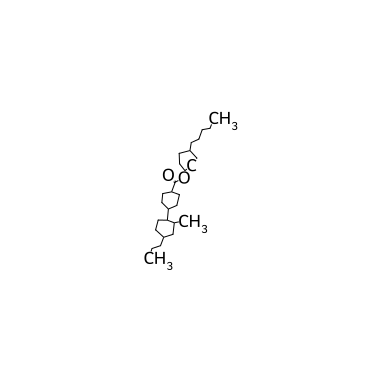 CCCCCC1CCC(OC(=O)C2CCC(C3CCC(CCC)CC3C)CC2)CC1